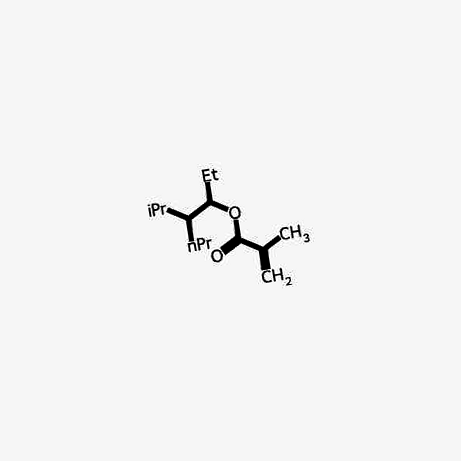 C=C(C)C(=O)OC(CC)C(CCC)C(C)C